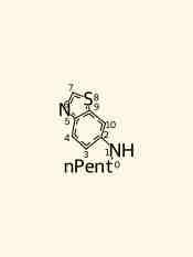 CCCCCNc1ccc2ncsc2c1